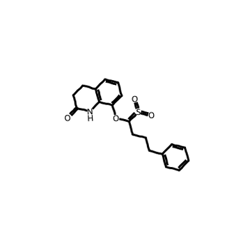 O=C1CCc2cccc(OC(CCCc3ccccc3)=S(=O)=O)c2N1